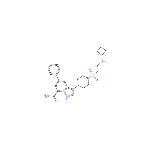 NC(=O)c1cc(-c2ccccc2)cc2c(C3CCN(S(=O)(=O)CCNC4CCC4)CC3)c[nH]c12